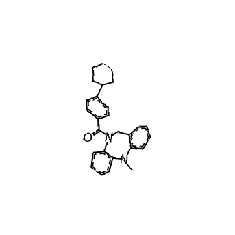 CN1c2ccccc2CN(C(=O)c2ccc(C3CCCCC3)cc2)c2ccccc21